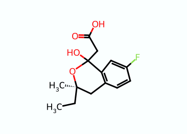 CC[C@]1(C)Cc2ccc(F)cc2C(O)(CC(=O)O)O1